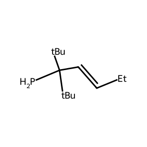 CCC=CC(P)(C(C)(C)C)C(C)(C)C